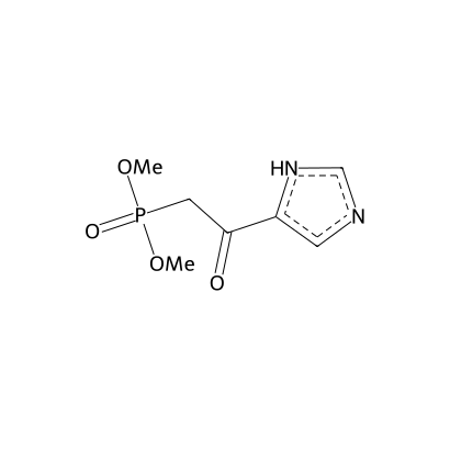 COP(=O)(CC(=O)c1cnc[nH]1)OC